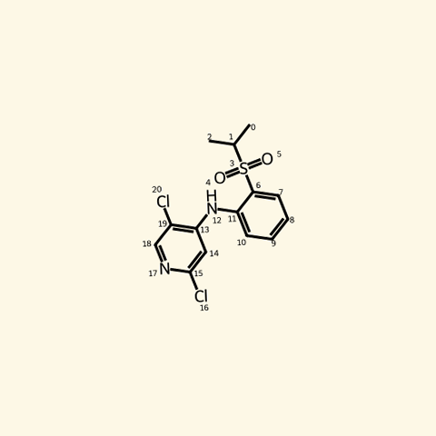 CC(C)S(=O)(=O)c1ccccc1Nc1cc(Cl)ncc1Cl